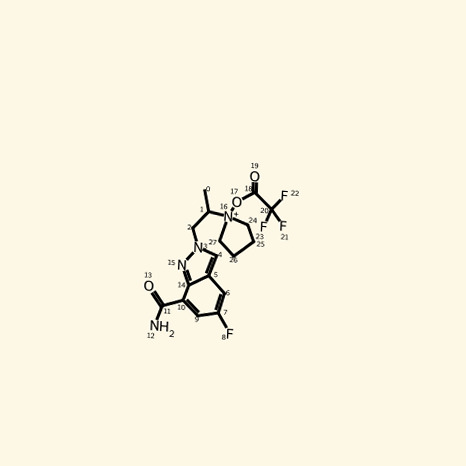 CC(Cn1cc2cc(F)cc(C(N)=O)c2n1)[N+]1(OC(=O)C(F)(F)F)CCCC1